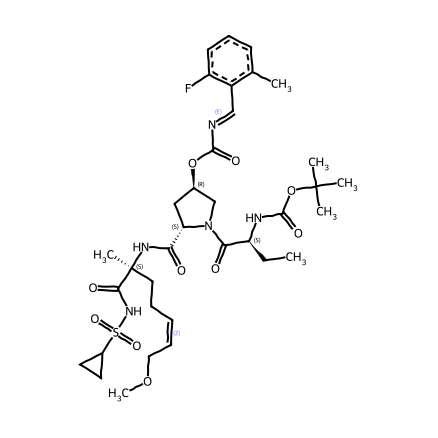 CC[C@H](NC(=O)OC(C)(C)C)C(=O)N1C[C@H](OC(=O)/N=C/c2c(C)cccc2F)C[C@H]1C(=O)N[C@@](C)(CC/C=C\COC)C(=O)NS(=O)(=O)C1CC1